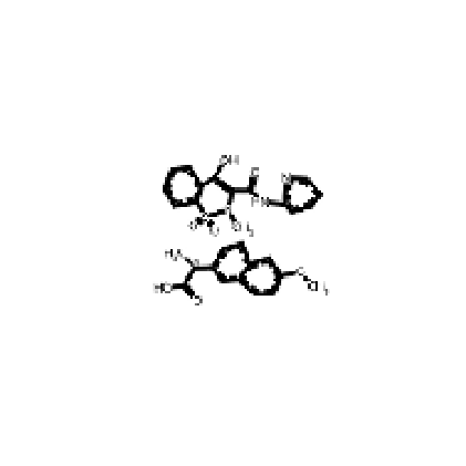 CN1C(C(=O)Nc2ccccn2)=C(O)c2ccccc2S1(=O)=O.COc1ccc2cc([C@H](C)C(=O)O)ccc2c1